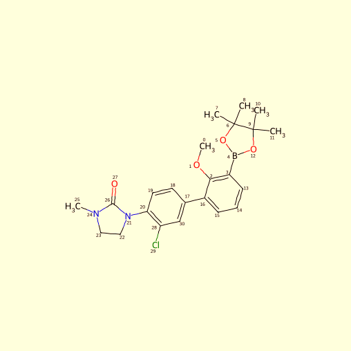 COc1c(B2OC(C)(C)C(C)(C)O2)cccc1-c1ccc(N2CCN(C)C2=O)c(Cl)c1